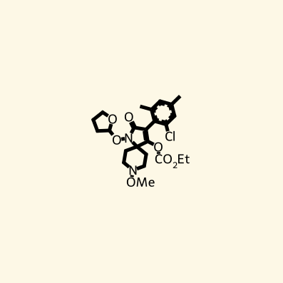 CCOC(=O)OC1=C(c2c(C)cc(C)cc2Cl)C(=O)N(OC2CCCO2)C12CCN(OC)CC2